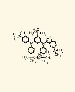 CC(C)(C)c1ccc(N(c2ccc(C(C)(C)C)cc2)c2cc(N(c3ccc(C(C)(C)C)cc3)c3csc4ccc(C(C)(C)C)cc34)cc(C(C)(C)C)c2)cc1